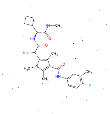 CNC(=O)[C@@H](NC(=O)C(O)c1c(C)c(C(=O)Nc2ccc(F)c(C)c2)c(C)n1C)C1CCC1